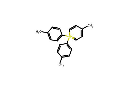 CC1=CC=[SH](c2ccc(C)cc2)(c2ccc(C)cc2)C=C1